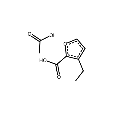 CC(=O)O.CCc1ccoc1C(=O)O